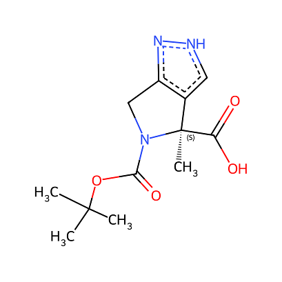 CC(C)(C)OC(=O)N1Cc2n[nH]cc2[C@@]1(C)C(=O)O